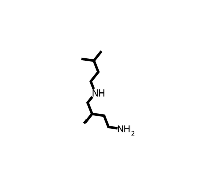 CC(C)CCNCC(C)CCN